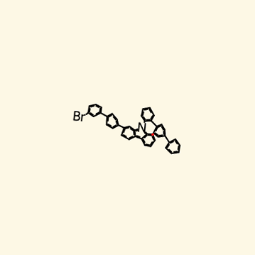 Brc1cccc(-c2ccc(-c3ccc4c5ccccc5n(-c5ccccc5-c5ccc(-c6ccccc6)cc5)c4c3)cc2)c1